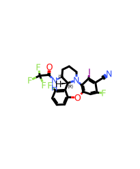 N#Cc1c(F)cc2c(c1I)N1CCC[C@H](NC(=O)C(F)(F)F)[C@H]1c1c(F)cccc1O2